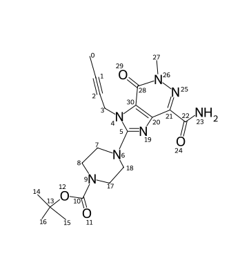 CC#CCn1c(N2CCN(C(=O)OC(C)(C)C)CC2)nc2c(C(N)=O)nn(C)c(=O)c21